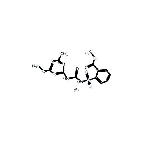 COC(=O)c1ccccc1S(=O)(=O)NC(=O)Nc1nc(C)nc(OC)n1.[Nb]